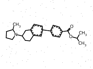 CC(C)OC(=O)c1ccc(-c2ccc3c(c2)CCC(N2CCCC2C)C3)cc1